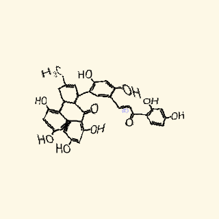 CC1=CC(c2cc(/C=C/C(=O)c3ccc(O)cc3O)c(O)cc2O)C(C(=O)c2ccc(O)cc2O)C(c2ccc(O)cc2O)C1